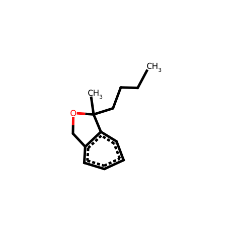 CCCCC1(C)OCc2ccccc21